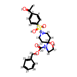 CC(=O)c1ccc(S(=O)(=O)N2CCC3(CC2)OCCN3C(=O)OCc2ccccc2)cc1